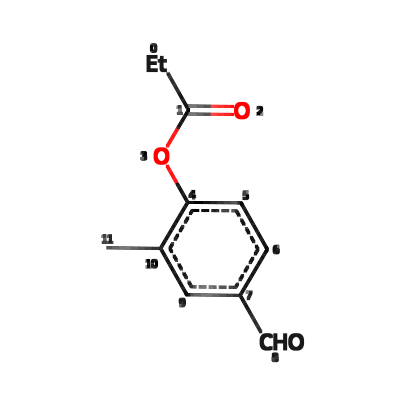 [CH2]CC(=O)Oc1ccc(C=O)cc1C